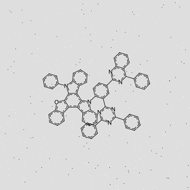 c1ccc(-c2nc(-c3ccccc3)nc(-c3cc(-c4nc(-c5ccccc5)c5ccccc5n4)ccc3-n3c4ccccc4c4c5c6ccccc6oc5c5c(c6ccccc6n5-c5ccccc5)c43)n2)cc1